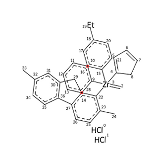 Cl.Cl.[CH2]=[Zr]([C]1=CC=CC1)([c]1ccccc1)([c]1ccc(CC)cc1)[c]1c(C)ccc2c1Cc1cc(C)ccc1-2